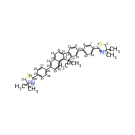 CC1(C)CSC(c2ccc(-c3ccc4c(c3)C(C)(C)c3c-4ccc4cc(-c5ccc(C6=NC(C)(C)CS6)cc5)ccc34)cc2)=N1